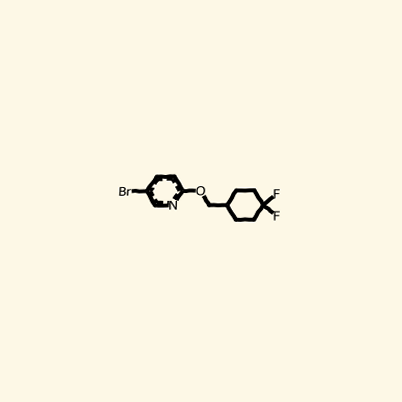 FC1(F)CCC(COc2ccc(Br)cn2)CC1